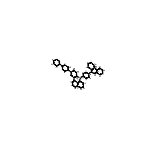 c1ccc(-c2ccc(-c3ccc(N(c4ccc(-c5cc6ccccc6c6ccccc56)cc4)c4cccc5ccccc45)cc3)cc2)cc1